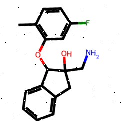 Cc1ccc(F)cc1OC1c2ccccc2CC1(O)CN